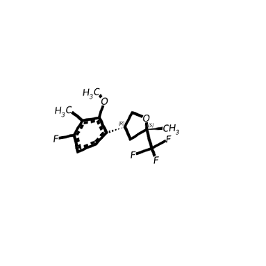 COc1c([C@@H]2CO[C@](C)(C(F)(F)F)C2)ccc(F)c1C